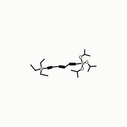 CC[Si](C#CC#CC#C[Si](OC(C)C)(OC(C)C)OC(C)C)(CC)CC